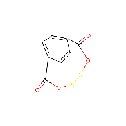 O=C1OSSOC(=O)c2ccc1cc2